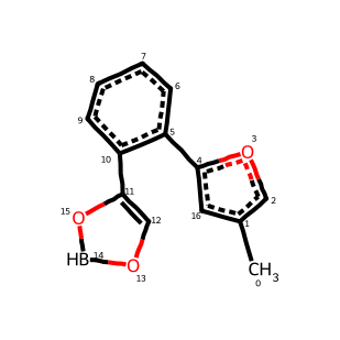 Cc1coc(-c2ccccc2C2=COBO2)c1